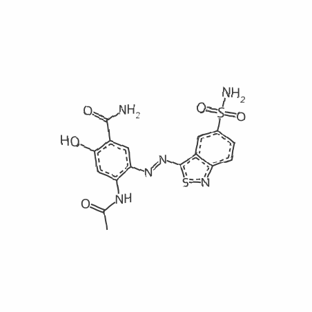 CC(=O)Nc1cc(O)c(C(N)=O)cc1/N=N/c1snc2ccc(S(N)(=O)=O)cc12